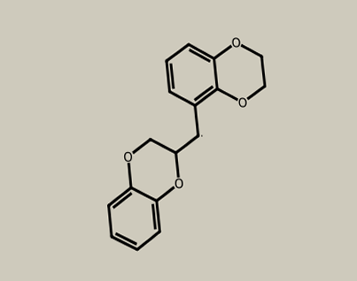 [CH](c1cccc2c1OCCO2)C1COc2ccccc2O1